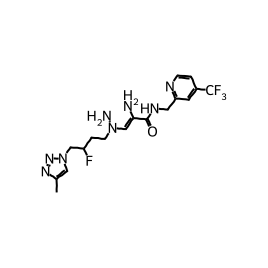 Cc1cn(CC(F)CCN(N)/C=C(\N)C(=O)NCc2cc(C(F)(F)F)ccn2)nn1